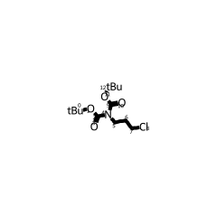 CC(C)(C)OC(=O)N(CCCCl)C(=O)OC(C)(C)C